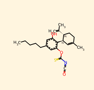 C=C(C)[C@@H]1CCC(C)=C[C@H]1c1c(O)cc(CCCCC)cc1OC(=S)N=C=O